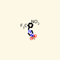 CS(=O)(=O)N1CCN(Cc2ccc([N+](=O)[O-])cc2C(F)(F)F)CC1